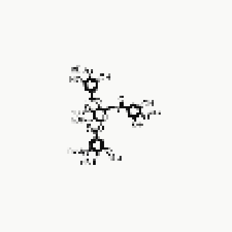 CCCCOc1cc(C(=O)O[C@@H]2OC(COC(=O)c3cc(O)c(OCCCC)c(O)c3)[C@@H](OC(=O)c3cc(O)c(OCCCC)c(O)c3)C(OCCCC)[C@@H]2OCCCC)cc(OCCCC)c1OCCCC